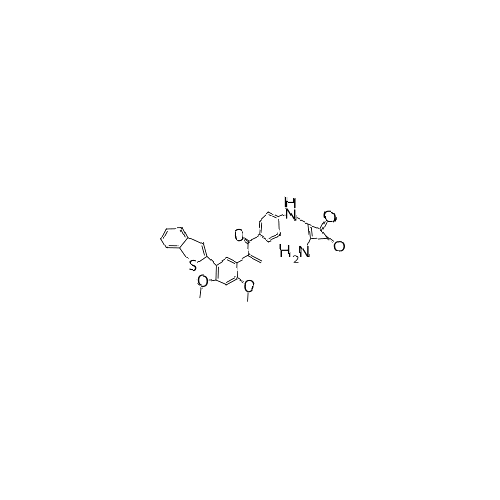 C=C(C(=O)c1ccc(Nc2c(N)c(=O)c2=O)cc1)c1cc(-c2cc3ccccc3s2)c(OC)cc1OC